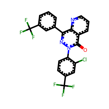 O=c1c2cccnc2c(-c2cccc(C(F)(F)F)c2)nn1-c1ccc(C(F)(F)F)cc1Cl